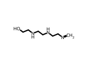 C=NCCNCCNCCO